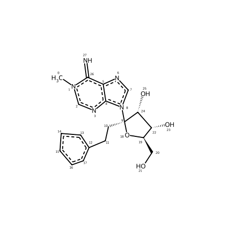 Cn1cnc2c(ncn2[C@]2(CCc3ccccc3)O[C@H](CO)[C@@H](O)[C@H]2O)c1=N